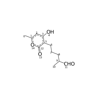 Cc1cc(O)c(CCCC(C)C=O)c(=O)o1